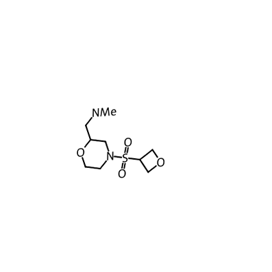 CNCC1CN(S(=O)(=O)C2COC2)CCO1